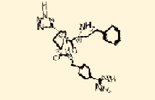 N=C(N)c1ccc(CNC(=O)[C@@H]2C[C@H](c3nn[nH]n3)CN2C(=O)[C@H](N)CCc2ccccc2)cc1